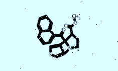 COC(=O)C1CCN2c3cscc3C12C(=O)c1cccc2ccccc12